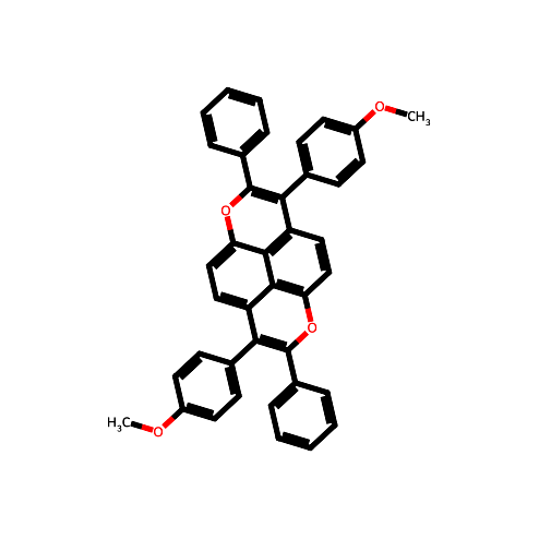 COc1ccc(C2=C(c3ccccc3)Oc3ccc4c5c(ccc2c35)OC(c2ccccc2)=C4c2ccc(OC)cc2)cc1